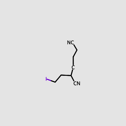 N#CCCCC(C#N)CCI